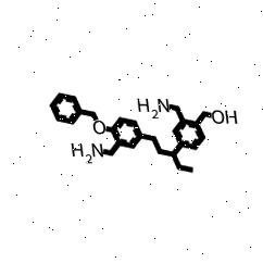 CCC(CCc1ccc(OCc2ccccc2)c(CN)c1)c1ccc(CO)c(CN)c1